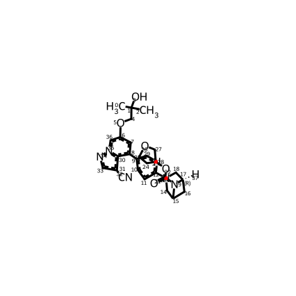 CC(C)(O)COc1cc(-c2ccc(N3CC4C[C@H](C3)N4C(=O)OC3CCOC3)nc2)c2c(C#N)cnn2c1